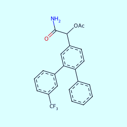 CC(=O)OC(C(N)=O)c1ccc(-c2ccccc2)c(-c2cccc(C(F)(F)F)c2)c1